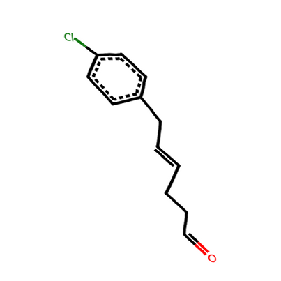 O=CCCC=CCc1ccc(Cl)cc1